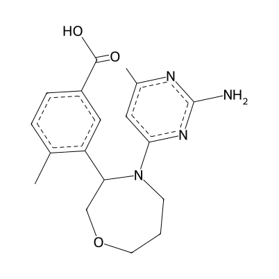 Cc1cc(N2CCCOCC2c2cc(C(=O)O)ccc2C)nc(N)n1